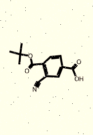 CC(C)(C)OC(=O)c1ccc(C(=O)O)cc1C#N